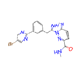 C/N=c1/ccc(C(=O)NC)nn1C(=N)Cc1cccc(-c2ncc(Br)cn2)c1